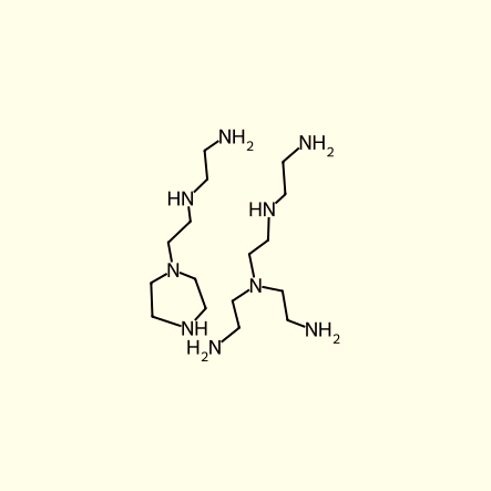 NCCNCCN(CCN)CCN.NCCNCCN1CCNCC1